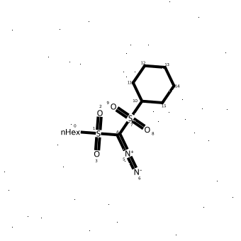 CCCCCCS(=O)(=O)C(=[N+]=[N-])S(=O)(=O)C1CCCCC1